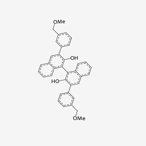 COCc1cccc(-c2cc3ccccc3c(-c3c(O)c(-c4cccc(COC)c4)cc4ccccc34)c2O)c1